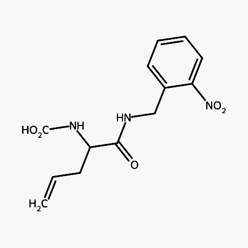 C=CCC(NC(=O)O)C(=O)NCc1ccccc1[N+](=O)[O-]